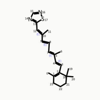 CC1=C(/C=C/C(C)=C/C=C/C(C)=C/c2ncns2)C(C)(C)CCC1